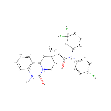 CN(C(=O)N1CCC(CC(=O)N(c2ccc(F)cc2)C2CCCC(F)(F)C2)(C(=O)O)CC1)c1ccccc1